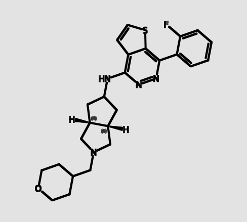 Fc1ccccc1-c1nnc(NC2C[C@@H]3CN(CC4CCOCC4)C[C@@H]3C2)c2ccsc12